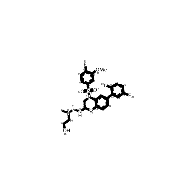 COc1cc(S(=O)(=O)N2CC(NSN(C)CCO)Oc3ccc(-c4cc(F)ccc4F)cc32)ccc1F